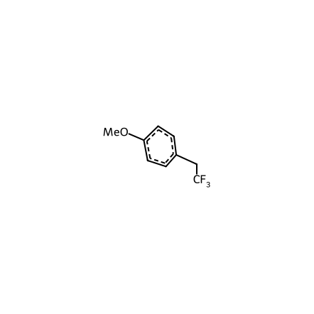 COc1ccc(CC(F)(F)F)cc1